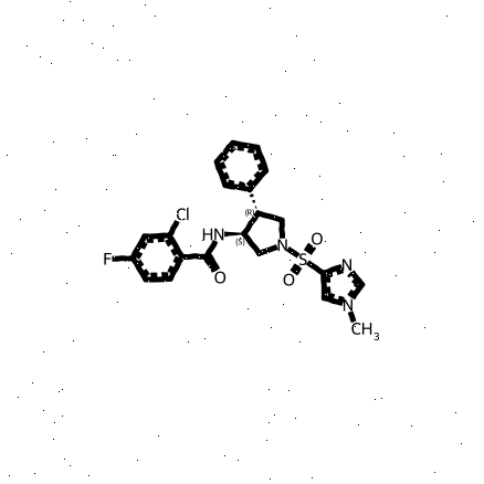 Cn1cnc(S(=O)(=O)N2C[C@@H](NC(=O)c3ccc(F)cc3Cl)[C@H](c3ccccc3)C2)c1